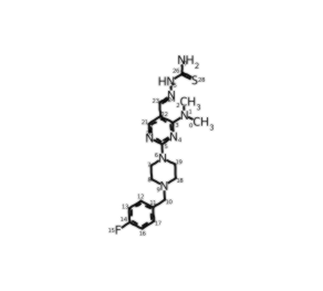 CN(C)c1nc(N2CCN(Cc3ccc(F)cc3)CC2)ncc1/C=N/NC(N)=S